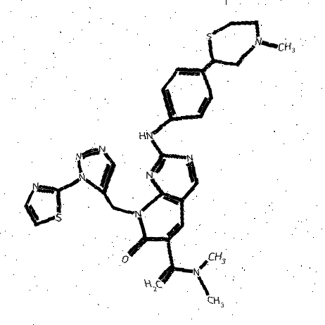 C=C(c1cc2cnc(Nc3ccc(C4CN(C)CCS4)cc3)nc2n(Cc2cnnn2-c2nccs2)c1=O)N(C)C